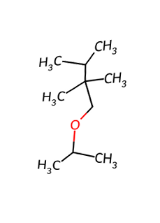 CC(C)OCC(C)(C)C(C)C